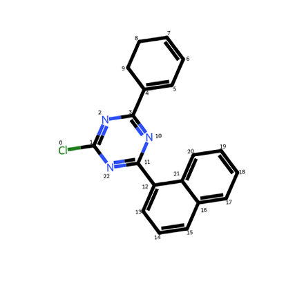 Clc1nc(C2=CC=CCC2)nc(-c2cccc3ccccc23)n1